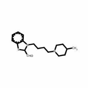 CC1CCN(CCCCN2c3ccccc3SC2C=O)CC1